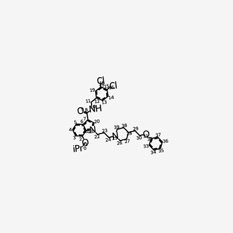 CC(C)Oc1cccc2c(C(=O)NCc3ccc(Cl)c(Cl)c3)cn(CCCN3CCC(CCOc4ccccc4)CC3)c12